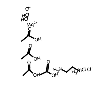 CC(=O)O.CC(=O)O.CC(=O)O.CC(=O)O.Cl.Cl.Cl.NCCN.[Cl-].[Cl-].[Mg+2]